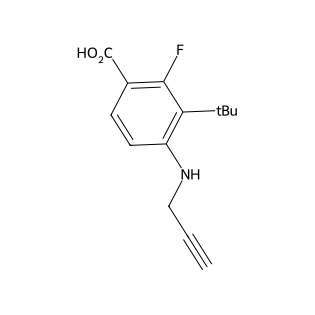 C#CCNc1ccc(C(=O)O)c(F)c1C(C)(C)C